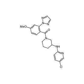 COc1ccc(C(=O)N2CCCC(Nc3ccc(Cl)cn3)C2)c(-n2nccn2)c1